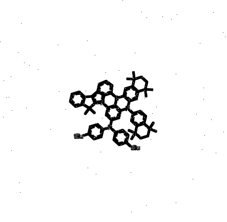 CC(C)(C)c1ccc(N(c2ccc(C(C)(C)C)cc2)c2cc3c4c(c2)-n2c5c(c6cccc(c62)B4c2cc4c(cc2N3c2ccc3c(c2)C(C)(C)CCC3(C)C)C(C)(C)CCC4(C)C)-c2ccccc2C5(C)C)cc1